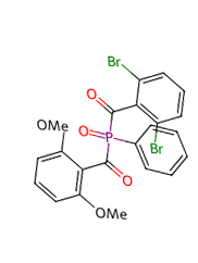 COc1cccc(OC)c1C(=O)P(=O)(C(=O)c1c(Br)cccc1Br)c1ccccc1